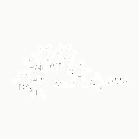 COc1nc(-c2cccc(-c3cccc(NC(=O)c4ccnn(C)c4=O)c3Cl)c2Cl)ccc1CN1CC(OC)C1